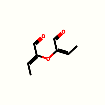 CC=C(C=O)OC(C=O)=CC